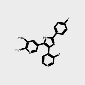 COc1cc(-c2[nH]c(-c3ccc(F)cc3)nc2-c2ccncc2F)cnc1N